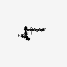 CC1(C)/C(=C\C=C2/CCC(/C=C/C3N(CCCCCC(=O)NCCOCCOCCOCCN=[N+]=[N-])c4ccccc4C3(C)C)=C2Cl)N(CCCS(=O)(=O)O)c2ccc3ccccc3c21